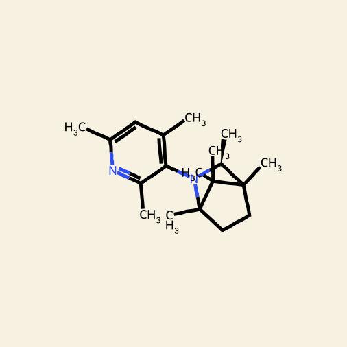 Cc1cc(C)c(N2[C@@H](C)C3(C)CCC2(C)C3(C)C)c(C)n1